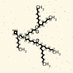 CCCCCCCCC(CCCCCC)COC(=O)CCCCCN(CCCCCC(=O)OCC(CCCCCC)CCCCCCCC)CCN(CCCCCC)C1CCC1